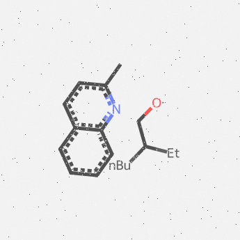 CCCCC(CC)C[O].Cc1ccc2ccccc2n1